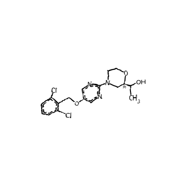 CC(O)[C@H]1CN(c2ncc(OCc3c(Cl)cccc3Cl)cn2)CCO1